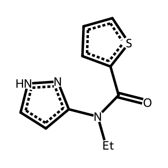 [CH2]CN(C(=O)c1cccs1)c1cc[nH]n1